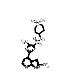 Cc1nc(-c2ccnc3[nH]c(C(F)(F)F)cc23)sc1S(=O)(=O)NC1CCS(O)(O)CC1